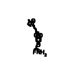 CC1CCN(CCCCCS(=O)(=O)c2ccc(OC/C(=C/F)CN)cc2)C1=O